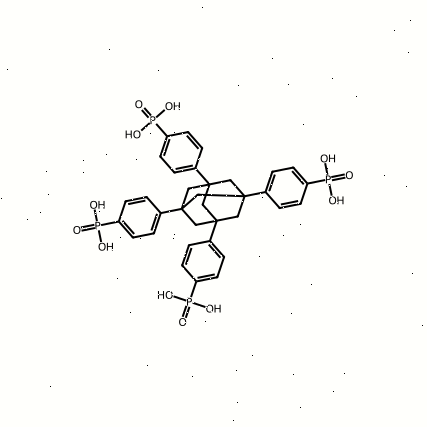 O=P(O)(O)c1ccc(C23CC4(c5ccc(P(=O)(O)O)cc5)CC(c5ccc(P(=O)(O)O)cc5)(C2)CC(c2ccc(P(=O)(O)O)cc2)(C3)C4)cc1